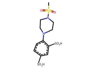 CS(=O)(=O)N1CCN(c2ccc(S(=O)(=O)O)cc2S(=O)(=O)O)CC1